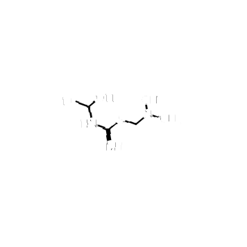 CCC(O)NC(=N)SCN(C)C